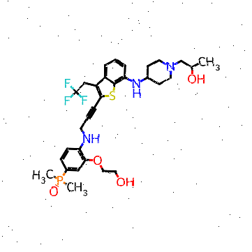 CC(O)CN1CCC(Nc2cccc3c(CC(F)(F)F)c(C#CCNc4ccc(P(C)(C)=O)cc4OCCO)sc23)CC1